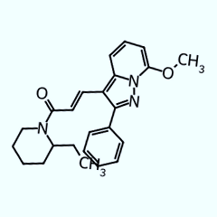 CCC1CCCCN1C(=O)C=Cc1c(-c2ccccc2)nn2c(OC)cccc12